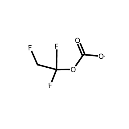 [O]C(=O)OC(F)(F)CF